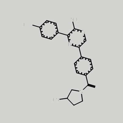 Cc1ccc(-c2nc(-c3ccc(C(=O)N4CCC(N)C4)cc3)cnc2N)cc1